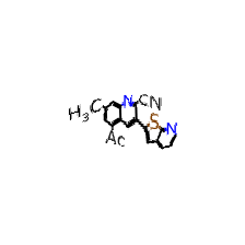 CC(=O)c1cc(C)cc2nc(C#N)c(-c3cc4cccnc4s3)cc12